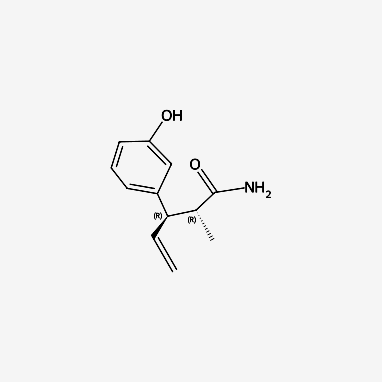 C=C[C@@H](c1cccc(O)c1)[C@@H](C)C(N)=O